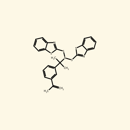 C=C(C)c1cccc(C(C)(C)N(Sc2nc3ccccc3s2)Sc2nc3ccccc3s2)c1